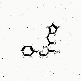 N=C(/C=C\Nc1ccccc1)NC(=O)Cc1cccs1